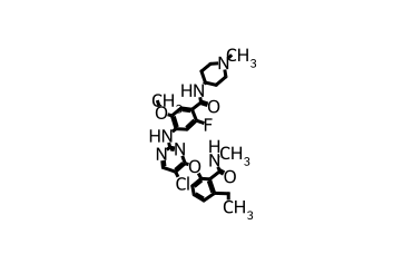 CCc1cccc(Oc2nc(Nc3cc(F)c(C(=O)NC4CCN(C)CC4)cc3OC)ncc2Cl)c1C(=O)NC